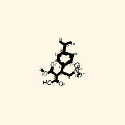 COC(=O)C(C(=O)O)C(C[N+](=O)[O-])c1ccc(C(C)C)cc1